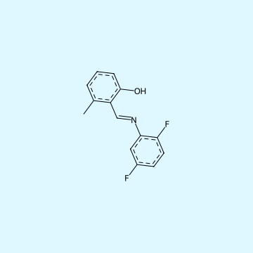 Cc1cccc(O)c1C=Nc1cc(F)ccc1F